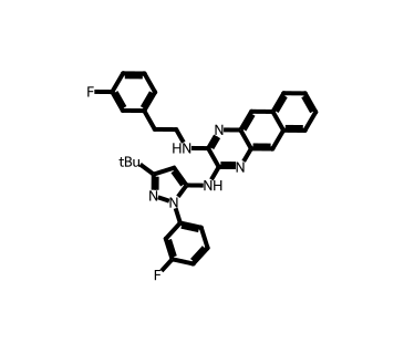 CC(C)(C)c1cc(Nc2nc3cc4ccccc4cc3nc2NCCc2cccc(F)c2)n(-c2cccc(F)c2)n1